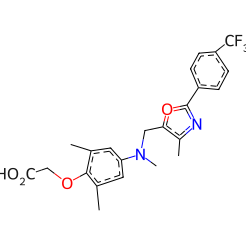 Cc1cc(N(C)Cc2oc(-c3ccc(C(F)(F)F)cc3)nc2C)cc(C)c1OCC(=O)O